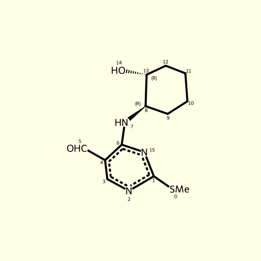 CSc1ncc(C=O)c(N[C@@H]2CCCC[C@H]2O)n1